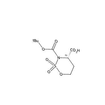 CC(C)(C)OC(=O)N1[C@H](C(=O)O)CCOS1(=O)=O